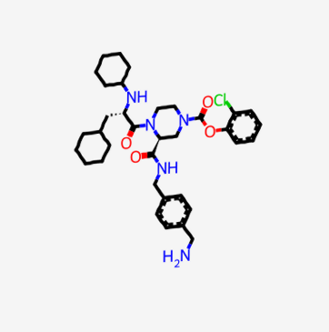 NCc1ccc(CNC(=O)[C@@H]2CN(C(=O)Oc3ccccc3Cl)CCN2C(=O)[C@H](CC2CCCCC2)NC2CCCCC2)cc1